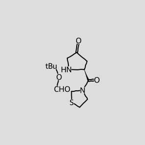 CC(C)(C)OC=O.O=C1CN[C@H](C(=O)N2CCSC2)C1